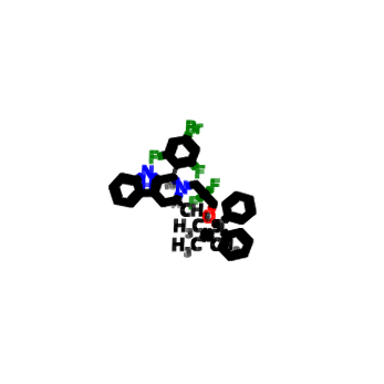 C[C@@H]1Cc2c([nH]c3ccccc23)[C@H](c2c(F)cc(Br)cc2F)N1CC(F)(F)CO[Si](c1ccccc1)(c1ccccc1)C(C)(C)C